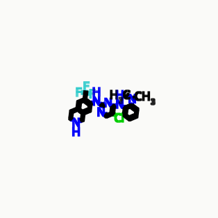 CN(C)c1ccccc1Nc1nc(Nc2cc3c(cc2C(F)(F)F)CCNC3)ncc1Cl